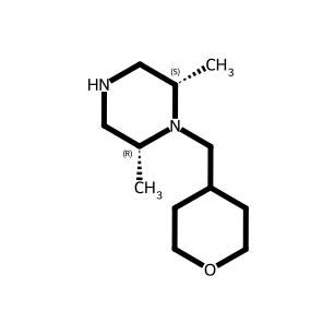 C[C@@H]1CNC[C@H](C)N1CC1CCOCC1